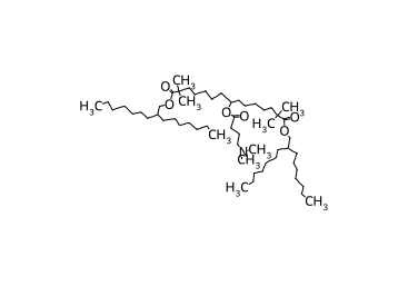 CCCCCCCC(CCCCCCC)COC(=O)C(C)(C)CCCCCC(CCCCCC(C)(C)C(=O)OCC(CCCCCCC)CCCCCCC)OC(=O)CCCN(C)C